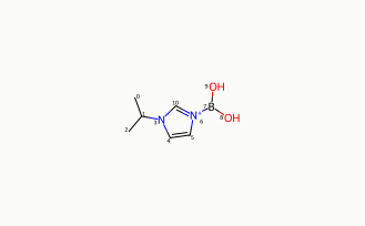 CC(C)n1cc[n+](B(O)O)c1